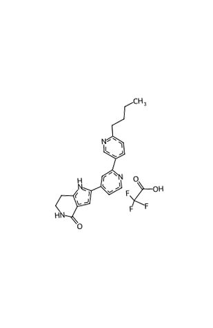 CCCCc1ccc(-c2cc(-c3cc4c([nH]3)CCNC4=O)ccn2)cn1.O=C(O)C(F)(F)F